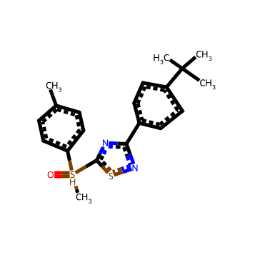 Cc1ccc([SH](C)(=O)c2nc(-c3ccc(C(C)(C)C)cc3)ns2)cc1